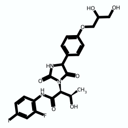 C[C@@H](O)[C@@H](C(=O)Nc1ccc(I)cc1F)N1C(=O)NC(c2ccc(OCC(O)CO)cc2)C1=O